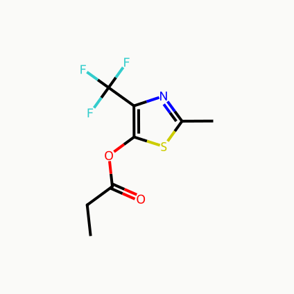 CCC(=O)Oc1sc(C)nc1C(F)(F)F